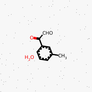 Cc1cccc(C(=O)C=O)c1.O